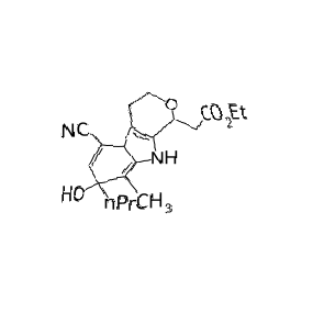 CCCC1(O)C=C(C#N)C2C3=C(NC2=C1C)C(CC(=O)OCC)OCC3